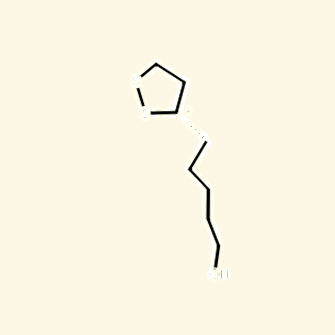 OCCCCC[C@H]1CCSS1